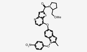 COCC1CCCN1C(=O)c1cc2nccc(Oc3ccc4c(c3)cc(C)n4Oc3ccc([N+](=O)[O-])cc3)c2s1